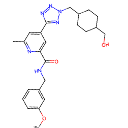 Cc1cc(-c2nnn(CC3CCC(CO)CC3)n2)cc(C(=O)NCc2cccc(OC(C)C)c2)n1